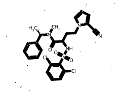 C[C@H](c1ccccc1)N(C)C(=O)C(CCn1cccc1C#N)NS(=O)(=O)c1c(Cl)cccc1Cl